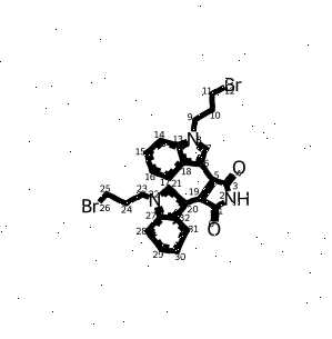 O=C1NC(=O)C(c2cn(CCCBr)c3ccccc23)=C1c1cn(CCCBr)c2ccccc12